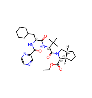 CCOC(=O)[C@@H]1[C@H]2CCC[C@H]2CN1C(=O)[C@@H](NC(=O)[C@H](CC1CCCCC1)NC(=O)c1cnccn1)C(C)(C)C